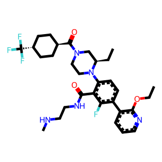 CCOc1ncccc1-c1ccc(N2CCN(C(=O)[C@H]3CC[C@H](C(F)(F)F)CC3)C[C@H]2CC)c(C(=O)NCCNC)c1F